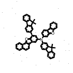 CC1(C)c2ccccc2-c2ccc(-c3cc(N(c4ccc5c(c4)C(C)(C)c4ccccc4-5)c4ccc5c(c4)oc4ccccc45)cc4c3oc3c5ccccc5ccc43)cc21